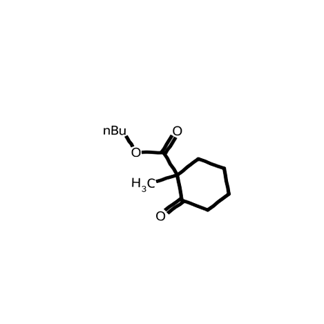 CCCCOC(=O)C1(C)CCCCC1=O